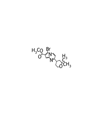 COC(=O)c1cc2nc(C3CCOC(C)(C)C3)ccn2c1Br